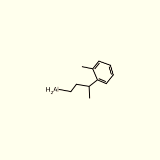 Cc1ccccc1C(C)C[CH2][AlH2]